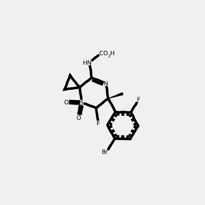 C[C@]1(c2cc(Br)ccc2F)N=C(NC(=O)O)C2(CC2)S(=O)(=O)C1F